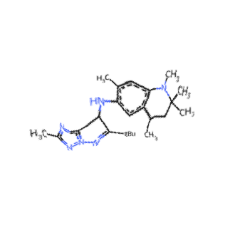 Cc1nc2n(n1)N=C(C(C)(C)C)C2Nc1cc2c(cc1C)N(C)C(C)(C)CC2C